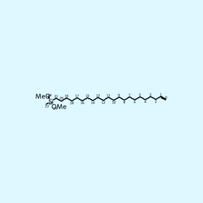 C=CCCCCCCCCCCCCCCCCCCCC[Si](C)(OC)OC